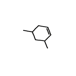 C[C]1CC=CC(C)C1